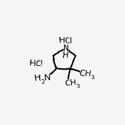 CC1(C)CNCC1N.Cl.Cl